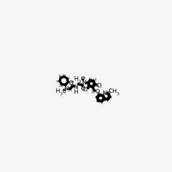 Cc1ccc2cccc(OCc3c(Cl)ccc(N(C)C(=O)CNC(=O)CN(C)C4CCCCCC4)c3Cl)c2n1